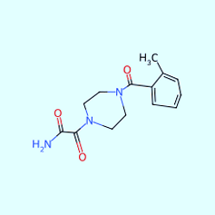 Cc1ccccc1C(=O)N1CCN(C(=O)C(N)=O)CC1